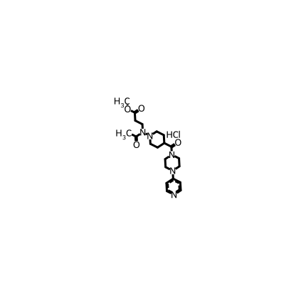 COC(=O)CCN(C(C)=O)N1CCC(C(=O)N2CCN(c3ccncc3)CC2)CC1.Cl